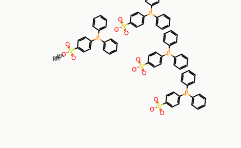 O=S(=O)([O-])c1ccc(P(c2ccccc2)c2ccccc2)cc1.O=S(=O)([O-])c1ccc(P(c2ccccc2)c2ccccc2)cc1.O=S(=O)([O-])c1ccc(P(c2ccccc2)c2ccccc2)cc1.O=S(=O)([O-])c1ccc(P(c2ccccc2)c2ccccc2)cc1.[K+].[Rh+3]